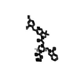 C[C@@H]1CN(CC(=O)N2CC(C)(C)c3cnc(Cc4ccc(F)cc4F)cc32)[C@@H](CN2Cc3ccccc3C2=O)CN1C(=O)OC(C)(C)C